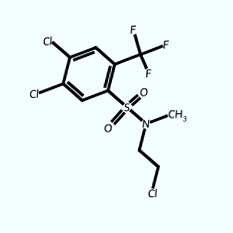 CN(CCCl)S(=O)(=O)c1cc(Cl)c(Cl)cc1C(F)(F)F